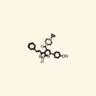 O=C(c1cc(-c2ccc(O)cc2)nc2[nH]nc(C=Cc3ccccc3)c12)N1CCN(C2CC2)CC1